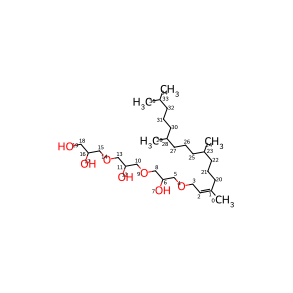 CC(=CCOCC(O)COCC(O)COCC(O)CO)CCCC(C)CCCC(C)CCCC(C)C